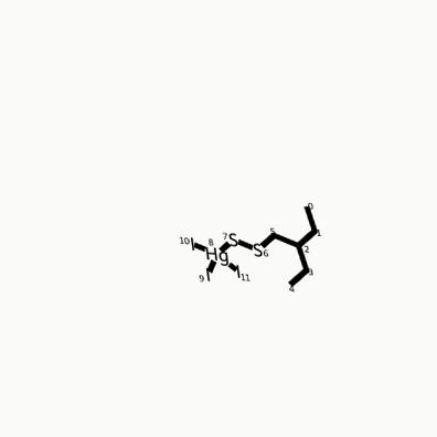 CCC(CC)CS[S][Hg]([I])([I])[I]